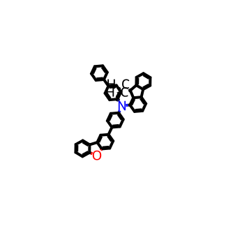 CC1(C)c2ccccc2-c2cccc(N(c3ccc(-c4ccccc4)cc3)c3ccc(-c4ccc5oc6ccccc6c5c4)cc3)c21